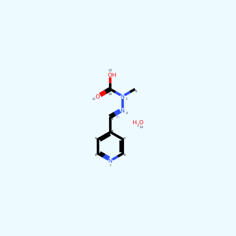 CN(/N=C/c1ccncc1)C(=O)O.O